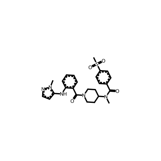 CN(C(=O)c1ccc(S(C)(=O)=O)cc1)C1CCN(C(=O)c2ccccc2Nc2ccnn2C)CC1